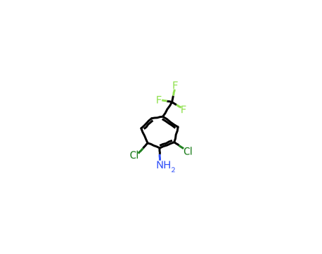 NC1=C(Cl)C=C(C(F)(F)F)C=CC1Cl